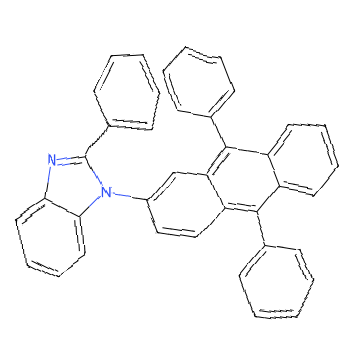 c1ccc(-c2c3ccccc3c(-c3ccccc3)c3cc(-n4c(-c5ccccc5)nc5ccccc54)ccc23)cc1